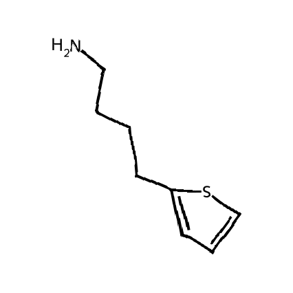 NCCCCc1cccs1